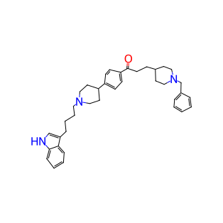 O=C(CCC1CCN(Cc2ccccc2)CC1)c1ccc(C2CCN(CCCCc3c[nH]c4ccccc34)CC2)cc1